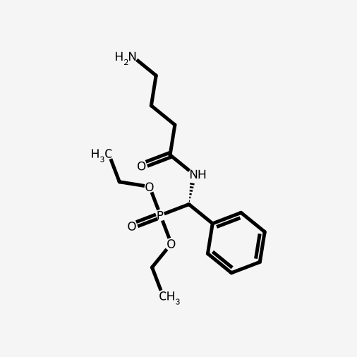 CCOP(=O)(OCC)[C@H](NC(=O)CCCN)c1ccccc1